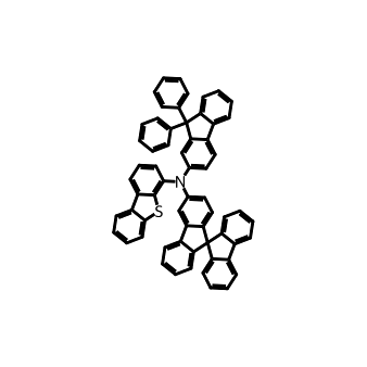 c1ccc(C2(c3ccccc3)c3ccccc3-c3ccc(N(c4ccc5c(c4)-c4ccccc4C54c5ccccc5-c5ccccc54)c4cccc5c4sc4ccccc45)cc32)cc1